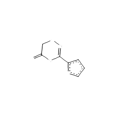 O=C1CON=C(c2cccs2)N1